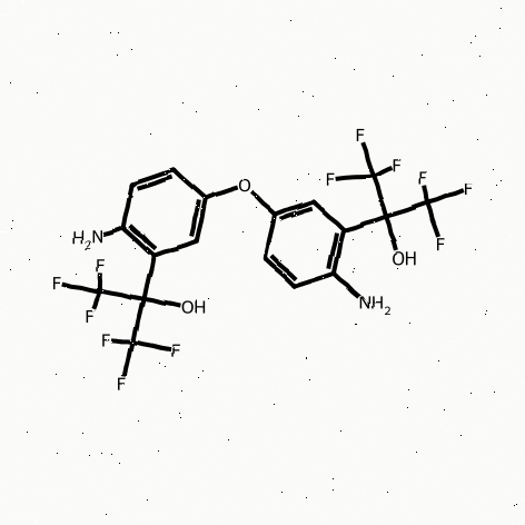 Nc1ccc(Oc2ccc(N)c(C(O)(C(F)(F)F)C(F)(F)F)c2)cc1C(O)(C(F)(F)F)C(F)(F)F